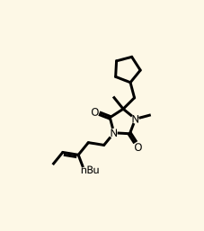 C/C=C(\CCCC)CCN1C(=O)N(C)C(C)(CC2CCCC2)C1=O